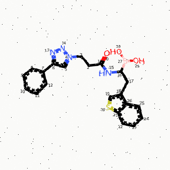 O=C(CCn1cc(-c2ccccc2)nn1)NC(Cc1csc2ccccc12)B(O)O